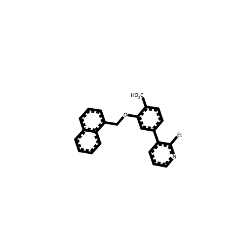 CCc1ncccc1-c1ccc(C(=O)O)c(OCc2cccc3ccccc23)c1